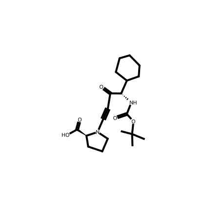 CC(C)(C)OC(=O)N[C@H](C(=O)C#CN1CCC[C@H]1C(=O)O)C1CCCCC1